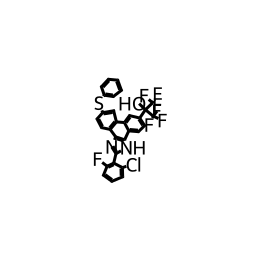 OC(c1ccc2c(c1)c1cc(Sc3ccccc3)ccc1c1nc(-c3c(F)cccc3Cl)[nH]c21)(C(F)(F)F)C(F)(F)F